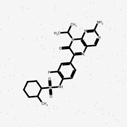 CC1CCCCC1S(=O)(=O)Nc1ccc(-c2nc3cnc(N)nc3n(C(C)C)c2=O)cc1F